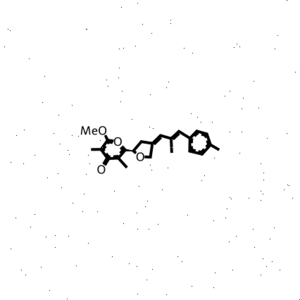 COc1oc([C@H]2C/C(=C/C(C)=C/c3ccc(C)cc3)CO2)c(C)c(=O)c1C